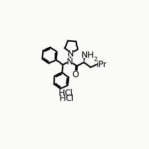 CC(C)C[C@H](N)C(=O)N(C(c1ccccc1)c1ccccc1)N1CCCC1.Cl.Cl